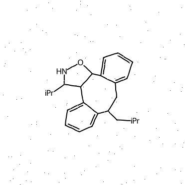 CC(C)CC1Cc2ccccc2C2ONC(C(C)C)C2c2ccccc21